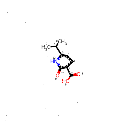 CC(C)c1ccc(C(=O)O)c(=O)[nH]1